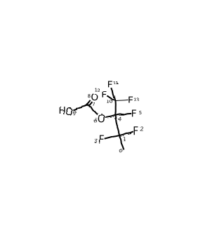 CC(F)(F)C(F)(OC(=O)O)C(F)(F)F